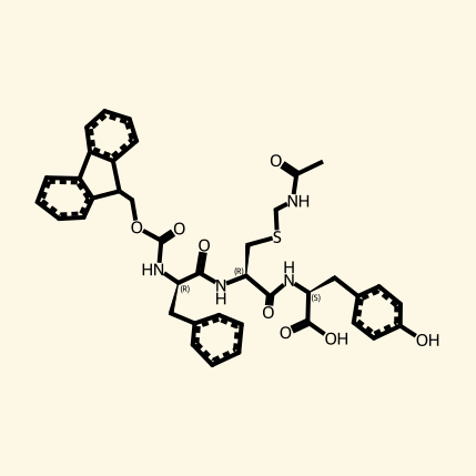 CC(=O)NCSC[C@H](NC(=O)[C@@H](Cc1ccccc1)NC(=O)OCC1c2ccccc2-c2ccccc21)C(=O)N[C@@H](Cc1ccc(O)cc1)C(=O)O